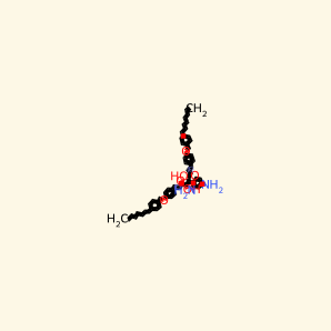 C=CCCCCCCC1CCC(COc2ccc(/C=C/C(=O)C(O)C(c3ccc(N)cc3N)C(O)C(=O)/C=C/c3ccc(OCC4CCC(CCCCCCC=C)CC4)cc3)cc2)CC1